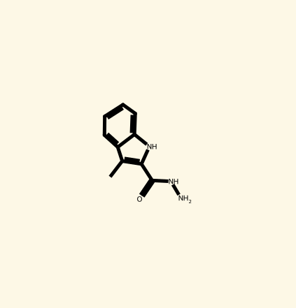 Cc1c(C(=O)NN)[nH]c2ccccc12